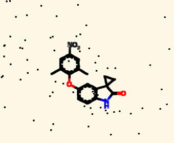 Cc1cc([N+](=O)[O-])cc(C)c1Oc1ccc2c(c1)C1(CC1)C(=O)N2